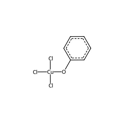 [Cl][Cu]([Cl])([Cl])[O]c1ccccc1